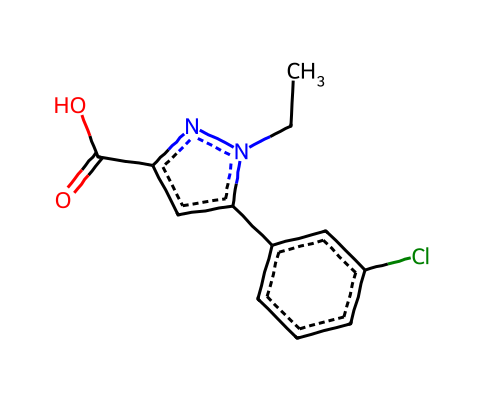 CCn1nc(C(=O)O)cc1-c1cccc(Cl)c1